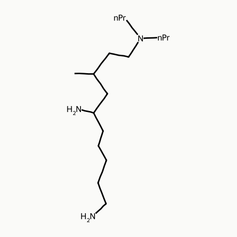 CCCN(CCC)CCC(C)CC(N)CCCCCN